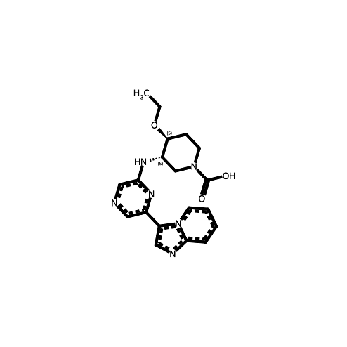 CCO[C@H]1CCN(C(=O)O)C[C@@H]1Nc1cncc(-c2cnc3ccccn23)n1